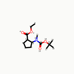 CCOC(=O)C1CCCC1N(C)C(=O)OC(C)(C)C